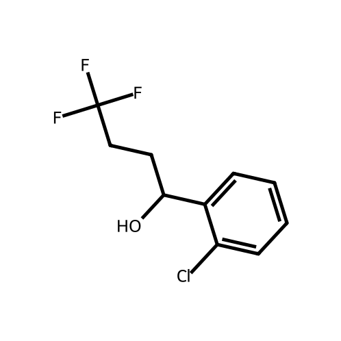 OC(CCC(F)(F)F)c1ccccc1Cl